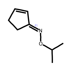 CC(C)O/N=C1/C=CCC1